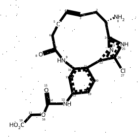 N[C@H]1C/C=C/CCC(=O)Nc2cc(NC(=O)OCC(=O)O)ccc2-c2nc1[nH]c2Cl